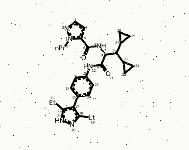 CCCn1nccc1C(=O)N[C@H](C(=O)Nc1ccc(-c2c(CC)n[nH]c2CC)cc1)C(C1CC1)C1CC1